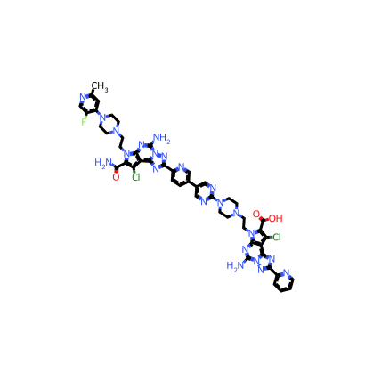 Cc1cc(N2CCN(CCn3c(C(N)=O)c(Cl)c4c3nc(N)n3nc(-c5ccc(-c6cnc(N7CCN(CCn8c(C(=O)O)c(Cl)c9c8nc(N)n8nc(-c%10ccccn%10)nc98)CC7)nc6)cn5)nc43)CC2)c(F)cn1